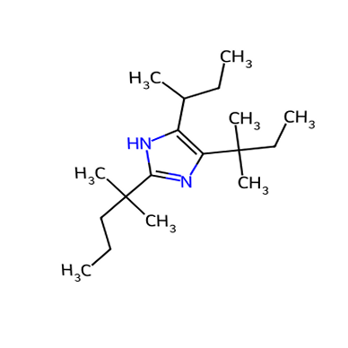 CCCC(C)(C)c1nc(C(C)(C)CC)c(C(C)CC)[nH]1